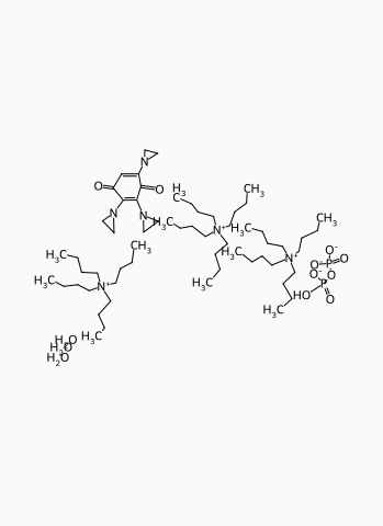 CCCC[N+](CCCC)(CCCC)CCCC.CCCC[N+](CCCC)(CCCC)CCCC.CCCC[N+](CCCC)(CCCC)CCCC.O.O.O.O=C1C=C(N2CC2)C(=O)C(N2CC2)=C1N1CC1.O=P([O-])([O-])OP(=O)([O-])O